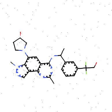 Cc1nc(NC(C)c2cccc(C(F)(F)CO)c2)c2cc(N3CC[C@@H](O)C3)c3c(cnn3C)c2n1